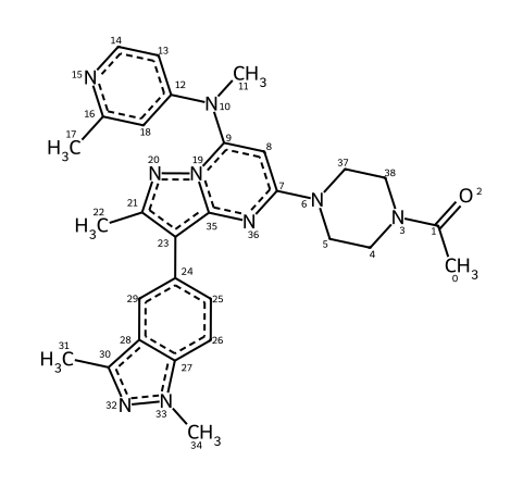 CC(=O)N1CCN(c2cc(N(C)c3ccnc(C)c3)n3nc(C)c(-c4ccc5c(c4)c(C)nn5C)c3n2)CC1